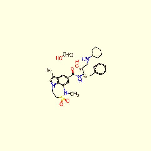 CC(C)c1cn2c3c(cc(C(=O)N[C@@H](Cc4ccccc4)[C@H](O)CNC4CCCCC4)cc13)N(C)S(=O)(=O)CC2.O=CO